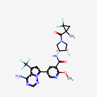 COc1ncc(-c2cc(C(F)(F)F)c3c(N)ncnn23)cc1C(=O)N[C@@H]1CN(C(=O)C2(C)CC2(F)F)C[C@@H]1F